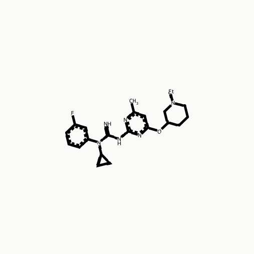 CCN1CCCC(Oc2cc(C)nc(NC(=N)N(c3cccc(F)c3)C3CC3)n2)C1